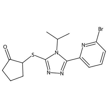 CC(C)n1c(SC2CCCC2=O)nnc1-c1cccc(Br)n1